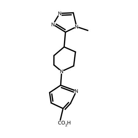 Cn1cnnc1C1CCN(c2ccc(C(=O)O)cn2)CC1